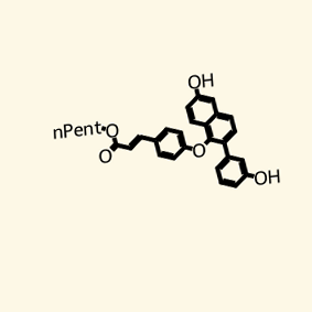 CCCCCOC(=O)C=Cc1ccc(Oc2c(-c3cccc(O)c3)ccc3cc(O)ccc23)cc1